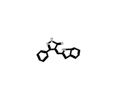 O=C1NN=C(c2ccccc2)C1=Cc1cc2ccccc2[nH]1